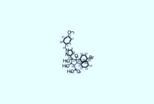 COc1ccc(Cn2cc3c(n2)C2(O)C(O)C(C(=O)O)C(c4ccccc4)C2(c2ccc(Br)cc2)O3)cc1